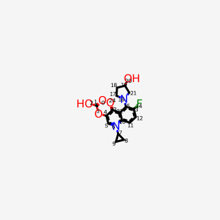 O=C(O)Oc1cn(C2CC2)c2ccc(F)c(N3CCC(O)C3)c2c1=O